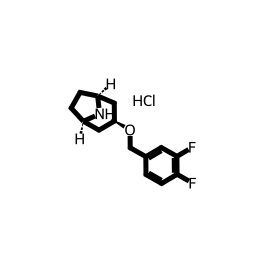 Cl.Fc1ccc(CO[C@H]2C[C@H]3CC[C@@H](C2)N3)cc1F